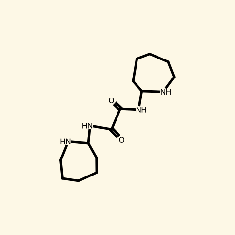 O=C(NC1CCCCCN1)C(=O)NC1CCCCCN1